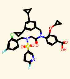 O=C(O)c1ccc(N(Cc2cc(C3CC3)cc(C3CC3)c2)C(=O)CN(Cc2ccc(F)cc2Cl)S(=O)(=O)c2ccc(F)nc2)c(OC2CC2)c1